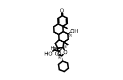 CC12C=CC(=O)C=C1CCC1C2[C@@H](O)CC2(C)C1C[C@H]1O[C@@H](C3CCCCC3)O[C@]12C(=O)CO